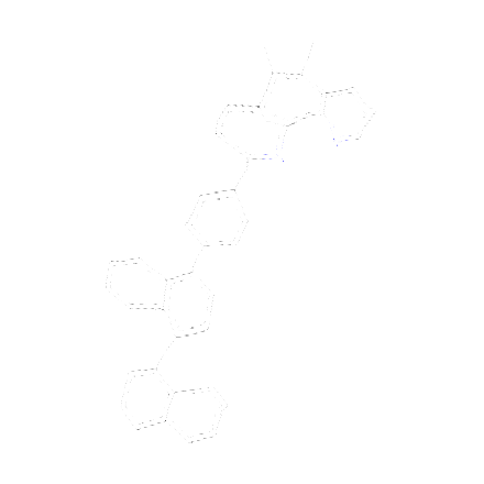 Cc1c(C)c2ccc(-c3ccc(-c4ccc(-c5cccc6ccccc56)c5ccccc45)cc3)nc2c2ncccc12